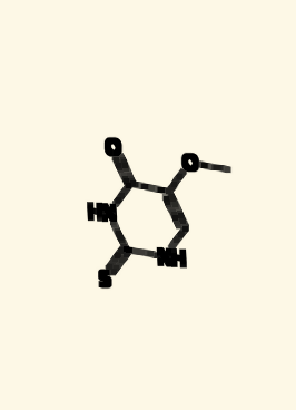 COc1c[nH]c(=S)[nH]c1=O